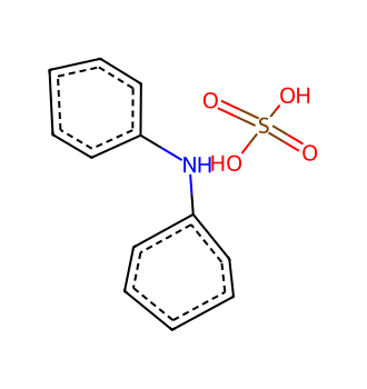 O=S(=O)(O)O.c1ccc(Nc2ccccc2)cc1